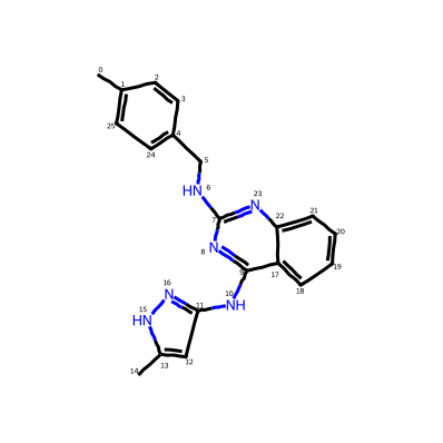 Cc1ccc(CNc2nc(Nc3cc(C)[nH]n3)c3ccccc3n2)cc1